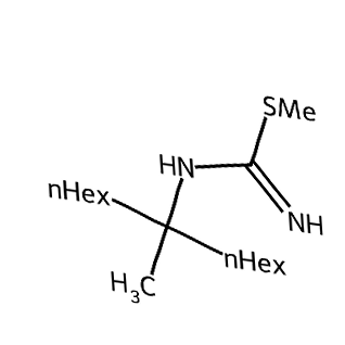 CCCCCCC(C)(CCCCCC)NC(=N)SC